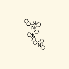 c1cc(-c2nc(-c3ccc4ccccc4c3)nc3ccccc23)cc(-n2c3ccccc3c3cc4ccc5c(c4cc32)c2cccc3c4ccccc4n5c32)c1